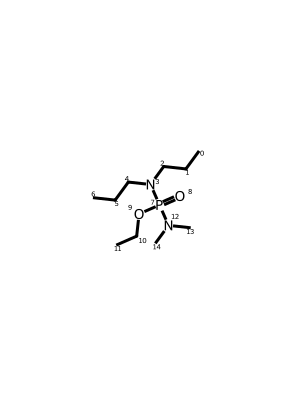 CCCN(CCC)P(=O)(OCC)N(C)C